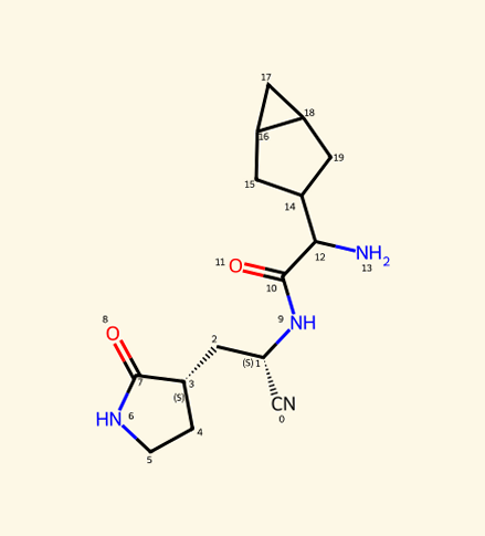 N#C[C@H](C[C@@H]1CCNC1=O)NC(=O)C(N)C1CC2CC2C1